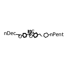 CCCCCCCCCCCCOc1ccc(C(=O)Oc2ccc(CC[C@H]3CC[C@H](CCCCC)CC3)cc2C#N)cc1